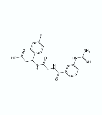 N=C(N)Nc1cccc(C(=O)NCC(=O)NC(CC(=O)O)c2ccc(F)cc2)c1